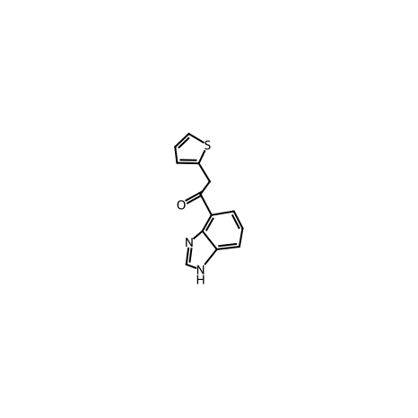 O=C(Cc1cccs1)c1cccc2[nH]cnc12